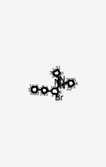 BrC1=CC(c2ccc(-c3ccccc3)cc2)CC(c2nc(-c3ccccc3)nc(-c3ccccc3)n2)=C1